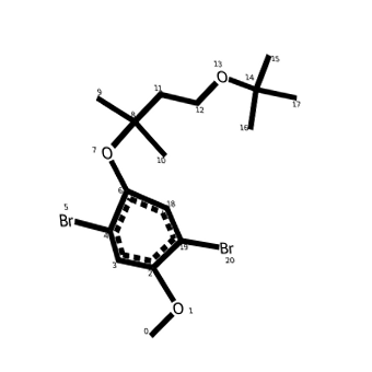 COc1cc(Br)c(OC(C)(C)CCOC(C)(C)C)cc1Br